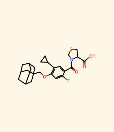 O=C(O)C1CSCN1C(=O)c1cc(C2CC2)c(OCC23CC4CC(CC(C4)C2)C3)cc1F